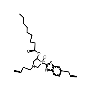 C=CCCN1CC(OC(=O)CCCCCCCC)[N+]([O-])(c2nc3ccc(CC=C)cc3s2)C1